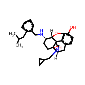 CC(C)Cc1ccccc1CN[C@H]1CC[C@@]2(O)[C@H]3Cc4ccc(O)c5c4[C@@]2(CCN3CC2CC2)[C@H]1O5